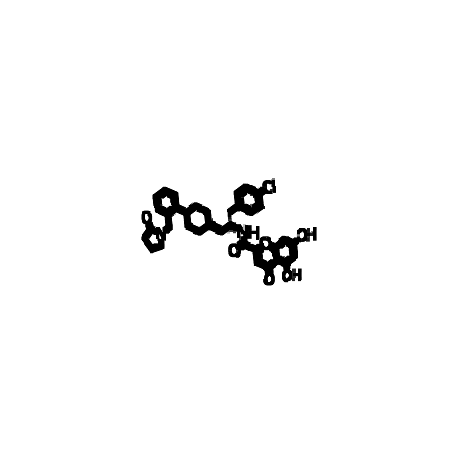 O=C(N[C@H](C=C1CCC(c2ccccc2CN2CCCC2=O)CC1)Cc1ccc(Cl)cc1)c1cc(=O)c2c(O)cc(O)cc2o1